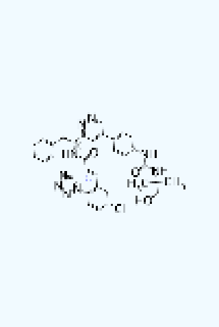 CC(C)(CO)NC(=O)Nc1ccc(-c2cnnc([C@H](Cc3ccccc3)NC(=O)/C=C/c3cc(Cl)ccc3-n3cnnn3)c2)cc1